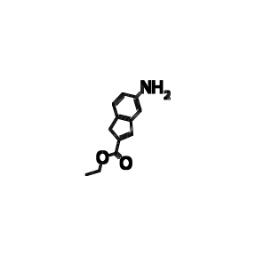 CCOC(=O)C1=Cc2cc(N)ccc2C1